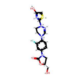 O=C1O[C@@H](CO)CN1c1ccc(N2C=NN(c3nc(O)cs3)CC2)c(F)c1